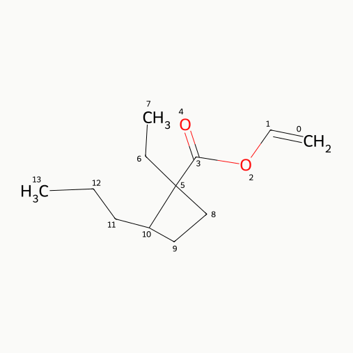 C=COC(=O)C1(CC)CCC1CCC